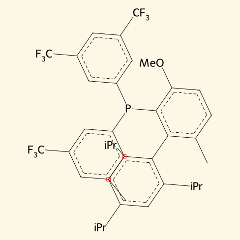 COc1ccc(C)c(-c2c(C(C)C)cc(C(C)C)cc2C(C)C)c1P(c1cc(C)cc(C(F)(F)F)c1)c1cc(C(F)(F)F)cc(C(F)(F)F)c1